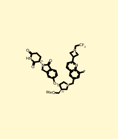 COC[C@@H]1CN(Cc2cc(F)c3nc(C4CN(CC(F)(F)F)C4)ccc3c2)C[C@H]1Oc1ccc2c(c1)CN([C@H]1CCC(=O)NC1=O)C2=O